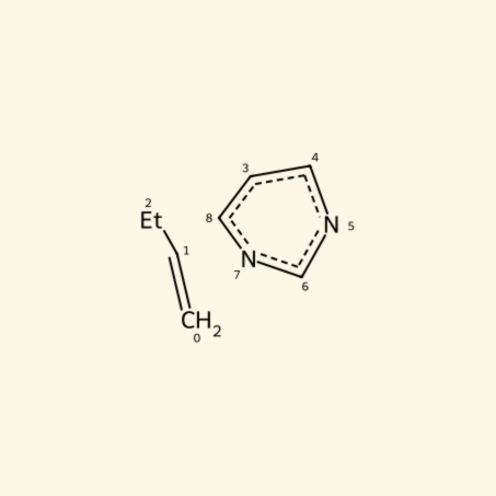 C=CCC.c1cncnc1